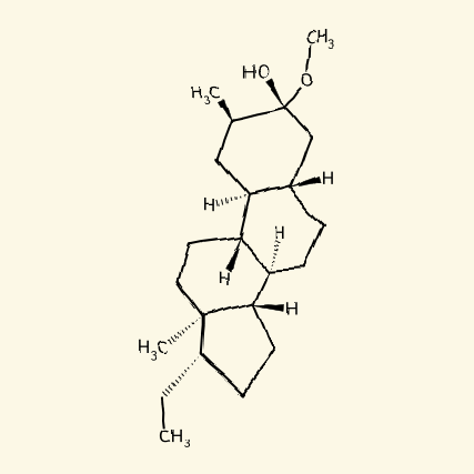 CC[C@H]1CC[C@H]2[C@@H]3CC[C@H]4C[C@@](O)(OC)[C@H](C)C[C@@H]4[C@H]3CC[C@]12C